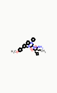 CCC[C@H](C(N)=O)[C@@H](CC1CCC1)C(=O)NC1CN(c2ccccc2)c2ccccc2N(Cc2cccc(-c3ccc(OC)cc3)c2)C1=O